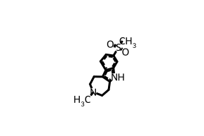 CN1CCc2[nH]c3cc(S(C)(=O)=O)ccc3c2CC1